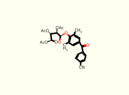 CC(=O)O[C@@H]1[C@@H](OC(C)=O)[C@@H](Oc2c(C)cc(C(=O)c3ccc(C#N)cc3)cc2C)OC[C@H]1OC(C)=O